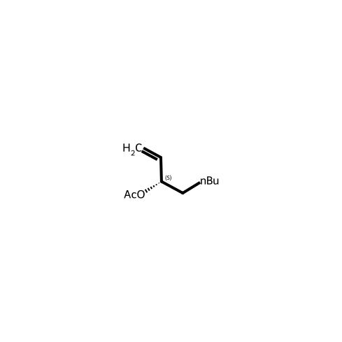 C=C[C@H](CCCCC)OC(C)=O